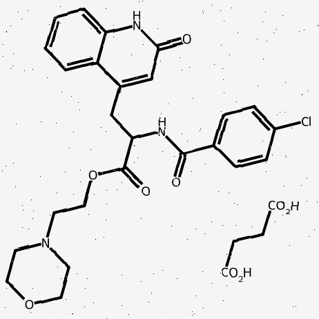 O=C(NC(Cc1cc(=O)[nH]c2ccccc12)C(=O)OCCN1CCOCC1)c1ccc(Cl)cc1.O=C(O)CCC(=O)O